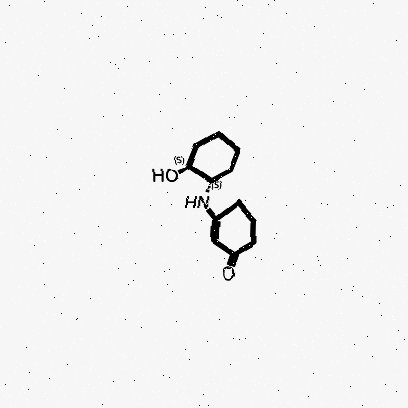 O=C1C=C(N[C@H]2CCCC[C@@H]2O)CCC1